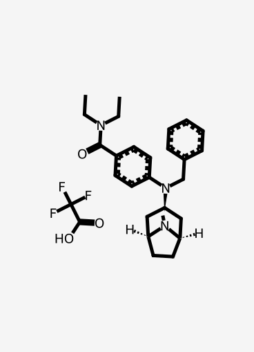 CCN(CC)C(=O)c1ccc(N(Cc2ccccc2)[C@H]2C[C@H]3CC[C@@H](C2)N3C)cc1.O=C(O)C(F)(F)F